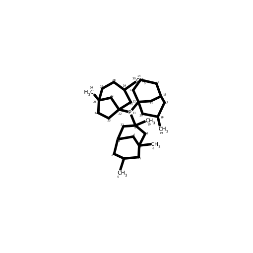 CC1CC2CC(C)(C1)CC(C)(P(C13CCCC(CC(C)C1)C3)C13CCC(C)(CCC(C)C1)C3)C2